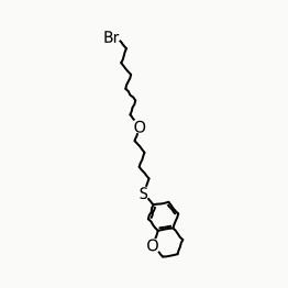 BrCCCCCCOCCCCSc1ccc2c(c1)OCCC2